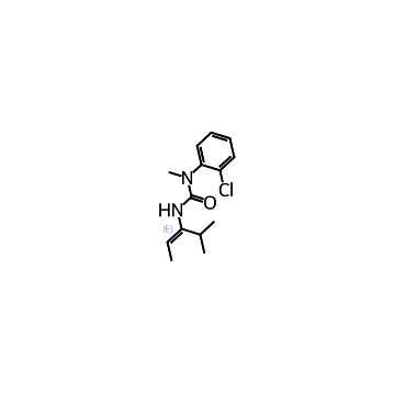 C/C=C(/NC(=O)N(C)c1ccccc1Cl)C(C)C